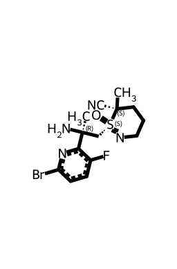 C[C@](N)(C[S@@]1(=O)=NCCC[C@@]1(C)C#N)c1nc(Br)ccc1F